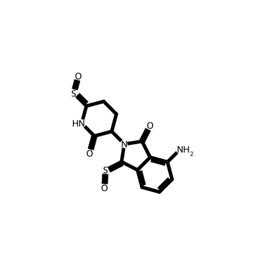 Nc1cccc2c1C(=O)N(C1CCC(=S=O)NC1=O)C2=S=O